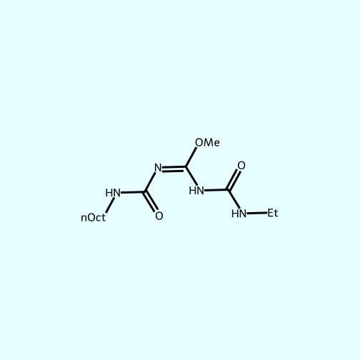 CCCCCCCCNC(=O)N=C(NC(=O)NCC)OC